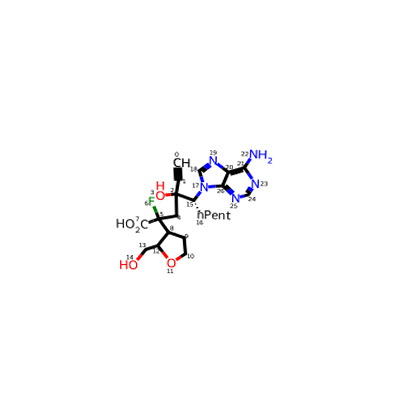 C#CC(O)(CC(F)(C(=O)O)C1CCOC1CO)[C@@H](CCCCC)n1cnc2c(N)ncnc21